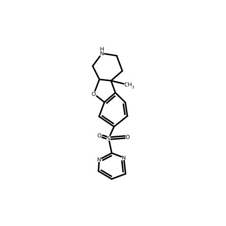 CC12CCNCC1Oc1cc(S(=O)(=O)c3ncccn3)ccc12